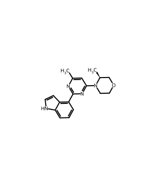 Cc1cc(N2CCOC[C@@H]2C)nc(-c2cccc3[nH]ccc23)n1